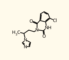 CC(CCn1c(=O)[nH]c2c(Cl)cccc2c1=O)n1ccnc1